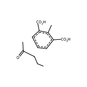 CCCC(C)=O.Cc1c(C(=O)O)cccc1C(=O)O